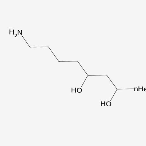 CCCCCCC(O)CC(O)CCCCN